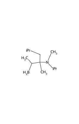 BC(C)C(C)(CC(C)C)N(C)C(C)C